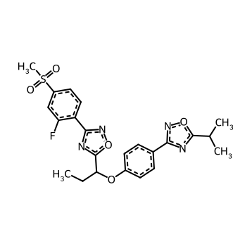 CCC(Oc1ccc(-c2noc(C(C)C)n2)cc1)c1nc(-c2ccc(S(C)(=O)=O)cc2F)no1